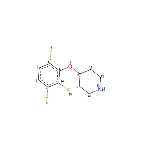 Fc1ccc(F)c(OC2CCNCC2)c1F